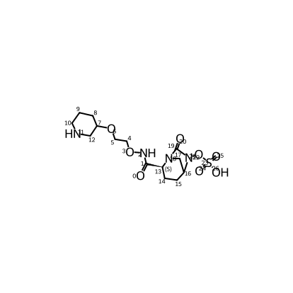 O=C(NOCCOC1CCCNC1)[C@@H]1CCC2CN1C(=O)N2OS(=O)(=O)O